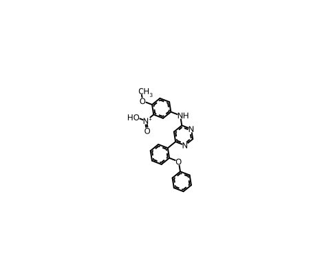 COc1ccc(Nc2cc(-c3ccccc3Oc3ccccc3)ncn2)cc1[N+](=O)O